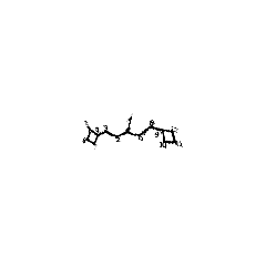 [CH](CCCC1CCC1)CC1CCC1